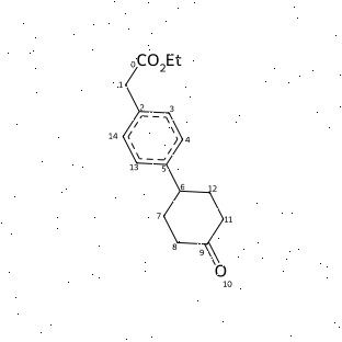 CCOC(=O)Cc1ccc(C2CCC(=O)CC2)cc1